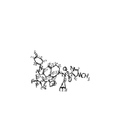 Cn1cnc(S(=O)(=O)N(C2CC2)[C@H]2CCC3=Cc4c(cnn4-c4ccc(F)cc4)C[C@]3(C(=O)c3ncc(C(F)(F)F)s3)C2)c1